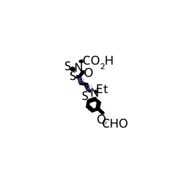 CCN1/C(=C/C=C2/SC(=S)N(CC(=O)O)C2=O)Sc2ccc(COC=O)cc21